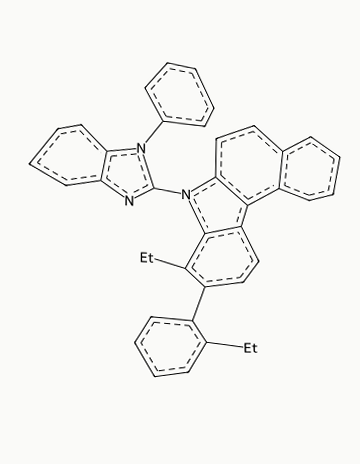 CCc1ccccc1-c1ccc2c3c4ccccc4ccc3n(-c3nc4ccccc4n3-c3ccccc3)c2c1CC